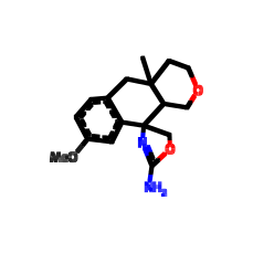 COc1ccc2c(c1)C1(COC(N)=N1)C1COCCC1(C)C2